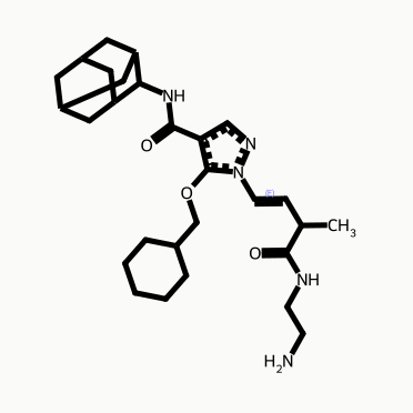 CC(/C=C/n1ncc(C(=O)NC2C3CC4CC(C3)CC2C4)c1OCC1CCCCC1)C(=O)NCCN